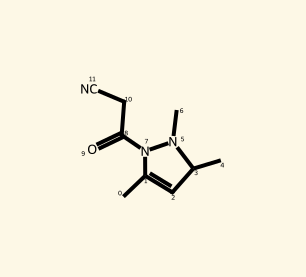 CC1=CC(C)N(C)N1C(=O)CC#N